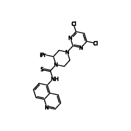 CC(C)C1CN(c2nc(Cl)cc(Cl)n2)CCN1C(=S)Nc1cccc2ncccc12